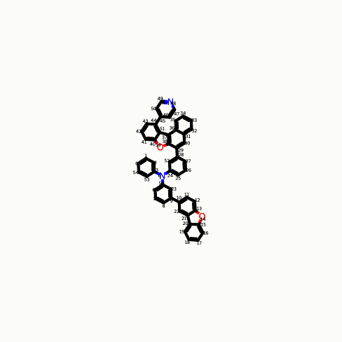 c1ccc(N(c2cccc(-c3ccc4oc5ccccc5c4c3)c2)c2cccc(-c3cc4ccccc4c4c3oc3cccc(-c5ccncc5)c34)c2)cc1